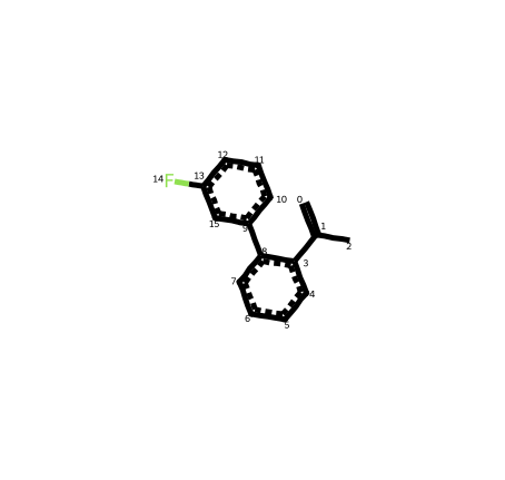 C=C(C)c1ccccc1-c1cccc(F)c1